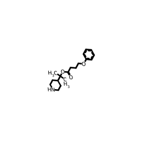 CC(C)(OC(=O)CCCOc1ccccc1)C1CCNCC1